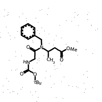 COC(=O)CC(C)N(Cc1ccccc1)C(=O)CNC(=O)OC(C)(C)C